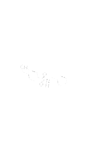 CCc1ccc(S(=O)(=O)NCc2ccccc2)cc1